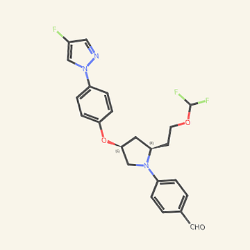 O=Cc1ccc(N2C[C@@H](Oc3ccc(-n4cc(F)cn4)cc3)C[C@H]2CCOC(F)F)cc1